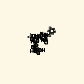 CC1(C)O[C@@H]2[C@H](O1)[C@H](n1cnc3c(NCc4ccccc4)nc(Cl)nc31)O[C@@H]2COP(=O)(O)CP(=O)(O)O